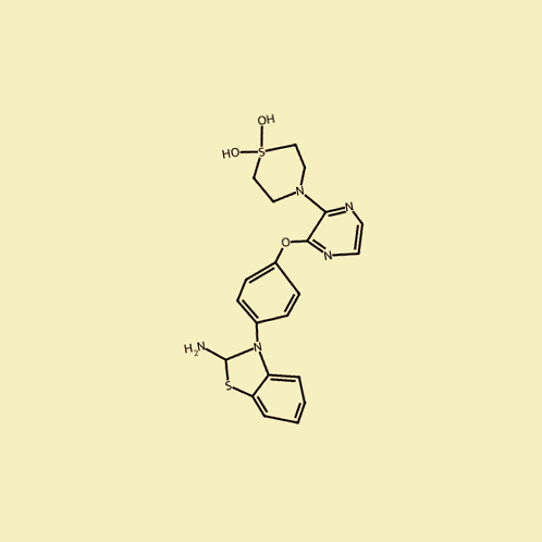 NC1Sc2ccccc2N1c1ccc(Oc2nccnc2N2CCS(O)(O)CC2)cc1